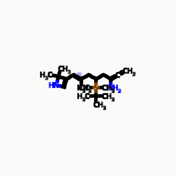 C=C=C(N)CC(C/C(C)=C/C1=CNC1(C)C)S(C)(C)C(C)(C)C